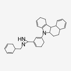 C1=CCC(CN2NC2C2=CCCC(N3C4=C(CCC=C4)C4C5C=CC=CC5CCC43)=C2)C=C1